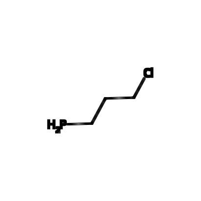 PCCCCl